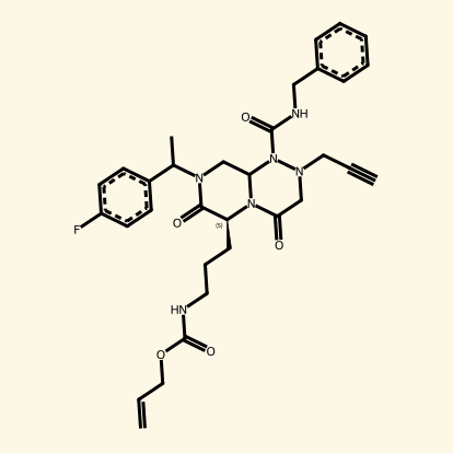 C#CCN1CC(=O)N2C(CN(C(C)c3ccc(F)cc3)C(=O)[C@@H]2CCCNC(=O)OCC=C)N1C(=O)NCc1ccccc1